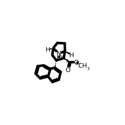 COC(=O)[C@@H]1[C@H]2CC[C@H](C[C@H]1c1cccc3ccccc13)N2C